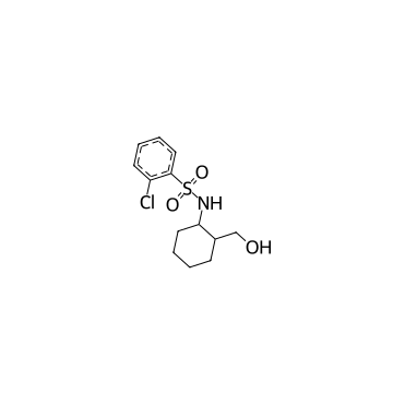 O=S(=O)(NC1CCCCC1CO)c1ccccc1Cl